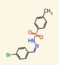 Cc1ccc(S(=O)(=O)N/N=C\c2ccc(Br)cc2)cc1